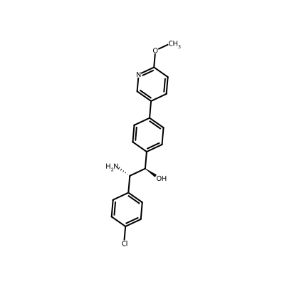 COc1ccc(-c2ccc([C@@H](O)[C@@H](N)c3ccc(Cl)cc3)cc2)cn1